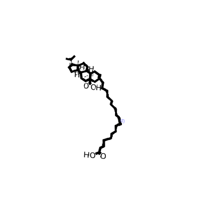 CC(C)[C@H]1CC[C@H]2[C@@H]3CCC4(C(=O)O)CC(CCCCCCCC/C=C\CCCCCCCC(=O)O)=CC[C@]4(C)[C@H]3CC[C@]12C